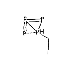 CC[PH]12P=P1=P2